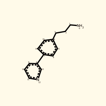 NCCCc1ccc(-c2cccnc2)cc1